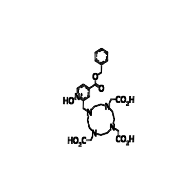 O=C(O)CN1CCN(CC(=O)O)CCN(Cc2cc(C(=O)OCc3ccccc3)cc[n+]2O)CCN(CC(=O)O)CC1